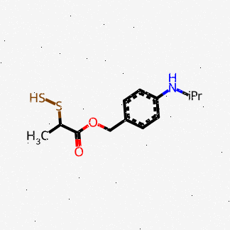 CC(C)Nc1ccc(COC(=O)C(C)SS)cc1